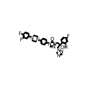 O=c1n(-c2ccc(N3CCN(c4ccc(F)c(F)c4)CC3)cc2)cnn1CC(O)(Cn1cncn1)c1ccc(F)cc1F